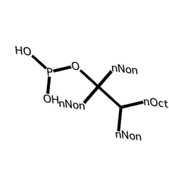 CCCCCCCCCC(CCCCCCCC)C(CCCCCCCCC)(CCCCCCCCC)OP(O)O